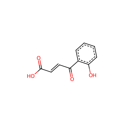 O=C(O)C=CC(=O)c1ccccc1O